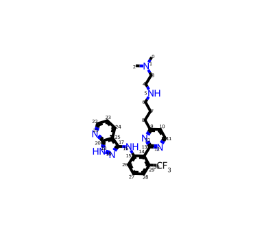 CN(C)CCNCCCc1ccnc(-c2c(Nc3n[nH]c4ncccc34)cccc2C(F)(F)F)n1